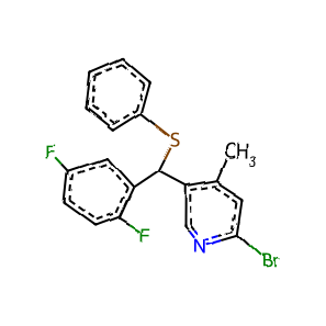 Cc1cc(Br)ncc1C(Sc1ccccc1)c1cc(F)ccc1F